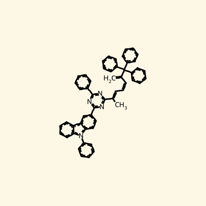 C=C(/C=C\C=C(/C)c1nc(-c2ccccc2)nc(-c2ccc3c(c2)c2ccccc2n3-c2ccccc2)n1)C(c1ccccc1)(c1ccccc1)c1ccccc1